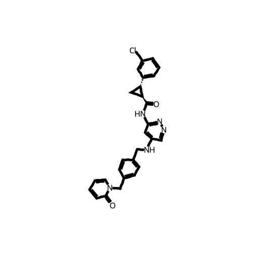 O=C(Nc1cc(NCc2ccc(Cn3ccccc3=O)cc2)cnn1)[C@H]1C[C@@H]1c1cccc(Cl)c1